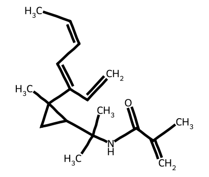 C=C/C(=C\C=C/C)C1(C)CC1C(C)(C)NC(=O)C(=C)C